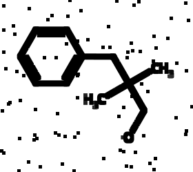 CC(C)(C[O])Cc1ccccc1